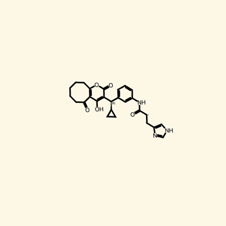 O=C([CH]Cc1c[nH]cn1)Nc1cccc([C@H](c2c(O)c3c(oc2=O)CCCCCC3=O)C2CC2)c1